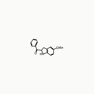 COc1ccc2c(c1)CC(C(=O)c1ccccc1)N2